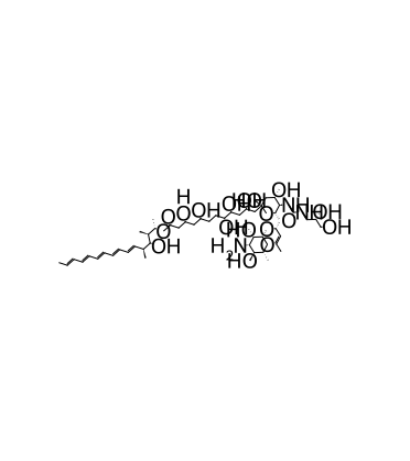 C/C=C/C=C/C=C/C=C/C=C/[C@H](C)[C@@H](O)[C@@H](C)[C@H](C)OC(=O)C[C@H](O)C[C@H](O)CC[C@@H](O)[C@H](O)C[C@H](O)C[C@]1(O)C[C@H](O)[C@@H](NC(=O)NC[C@H](O)CO)[C@H](C[C@H](/C=C/C)O[C@@H]2O[C@H](C)[C@@H](O)[C@H](N)[C@@H]2O)O1